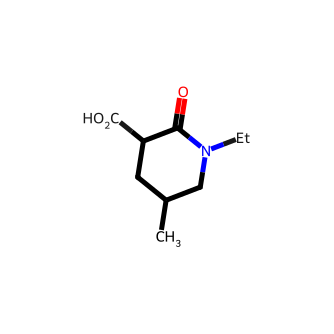 CCN1CC(C)CC(C(=O)O)C1=O